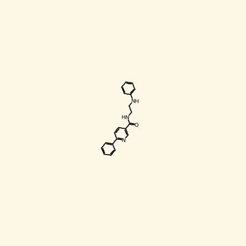 O=C(NCCNc1ccccc1)c1ccc(-c2ccccc2)nc1